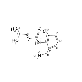 CC(O)/C=C/C(=O)Nc1c(Cl)cccc1CN